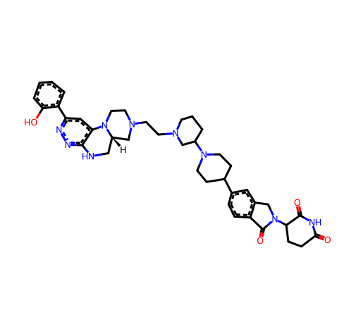 O=C1CCC(N2Cc3cc(C4CCN(C5CCCN(CCN6CCN7c8cc(-c9ccccc9O)nnc8NC[C@H]7C6)C5)CC4)ccc3C2=O)C(=O)N1